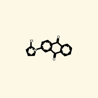 CCc1cccn1-c1ccc2c(c1)C(=O)c1ccccc1C2=O